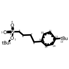 CC(C)(C)OS(=O)(=O)CCCCc1ccc(C(C)(C)C)cc1